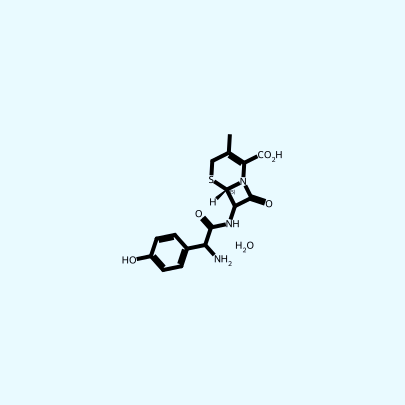 CC1=C(C(=O)O)N2C(=O)C(NC(=O)C(N)c3ccc(O)cc3)[C@@H]2SC1.O